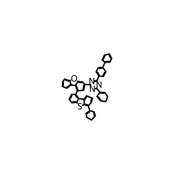 C1=CC(c2nc(-c3ccc(-c4ccccc4)cc3)nc(-c3cc(-c4cccc5sc6c(C7=CCCC=C7)cccc6c45)c4c(c3)oc3ccccc34)n2)=CCC1